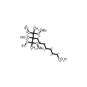 CCCCOC(C)(OCC)C(CCCCCCCC(=O)O)(C(=O)O)C(C)(OCC)OCCCC